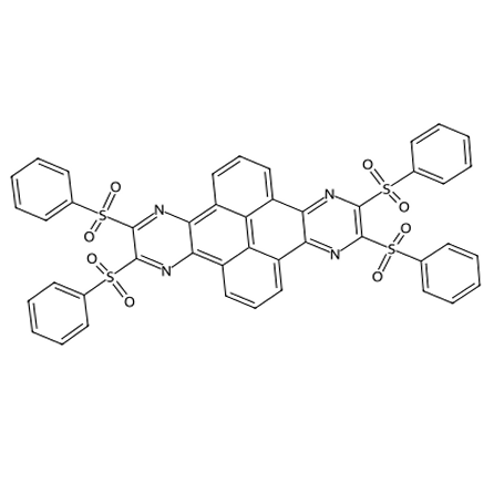 O=S(=O)(c1ccccc1)c1nc2c3cccc4c5nc(S(=O)(=O)c6ccccc6)c(S(=O)(=O)c6ccccc6)nc5c5cccc(c2nc1S(=O)(=O)c1ccccc1)c5c34